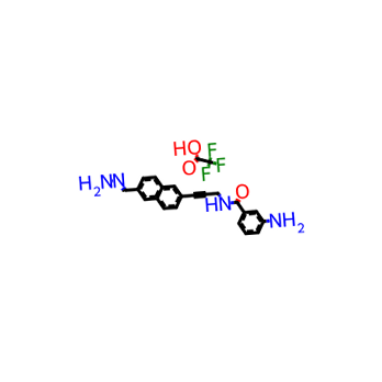 NN=Cc1ccc2cc(C#CCNC(=O)c3cccc(N)c3)ccc2c1.O=C(O)C(F)(F)F